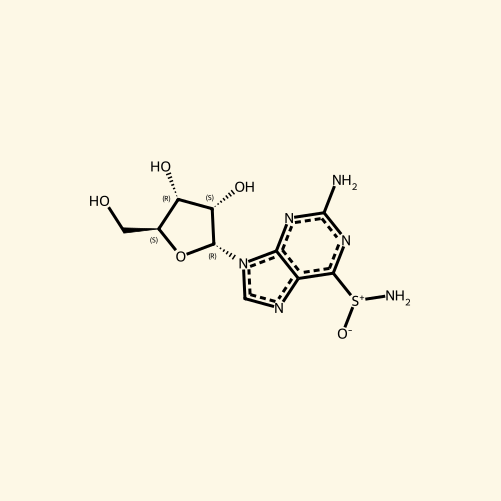 Nc1nc([S+](N)[O-])c2ncn([C@@H]3O[C@@H](CO)[C@H](O)[C@@H]3O)c2n1